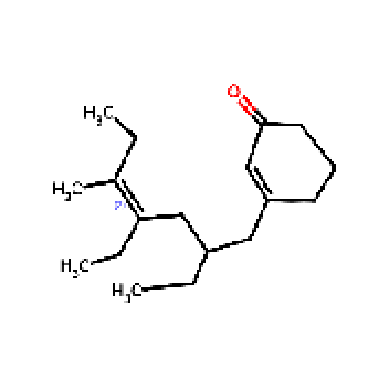 CC/C(C)=C(/CC)CC(CC)CC1=CC(=O)CCC1